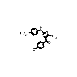 Nc1nc(Nc2ccc(C(=O)O)cc2)sc1C(=O)c1ccc(Cl)cc1